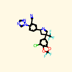 N#Cc1cc(C2CC(c3cc(Cl)c4c(c3)OC(F)(F)O4)(C(F)(F)F)C=N2)ccc1-n1cncn1